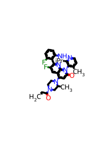 C=CC(=O)N1CCN(c2cc(=O)n(-c3c(C)ccnc3C(C)C)c3nc(-c4c(N)cccc4F)c(F)cc23)C(C)C1